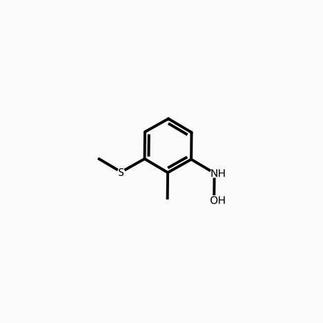 CSc1cccc(NO)c1C